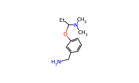 CCC(Oc1cccc(CN)c1)N(C)C